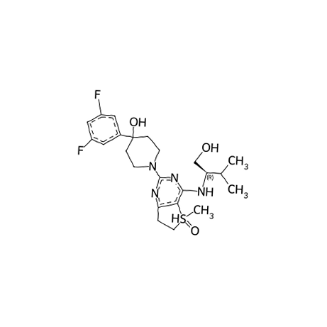 CC(C)[C@H](CO)Nc1nc(N2CCC(O)(c3cc(F)cc(F)c3)CC2)nc2c1[SH](C)(=O)CC2